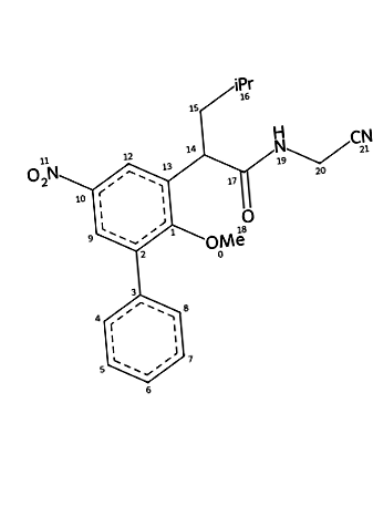 COc1c(-c2ccccc2)cc([N+](=O)[O-])cc1C(CC(C)C)C(=O)NCC#N